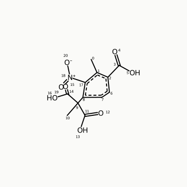 Cc1c(C(=O)O)ccc(C(C)(C(=O)O)C(=O)O)c1[N+](=O)[O-]